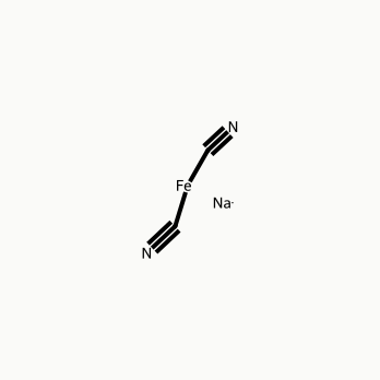 N#[C][Fe][C]#N.[Na]